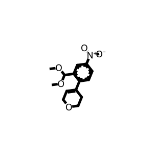 COC(OC)c1cc([N+](=O)[O-])ccc1C1=CCOCC1